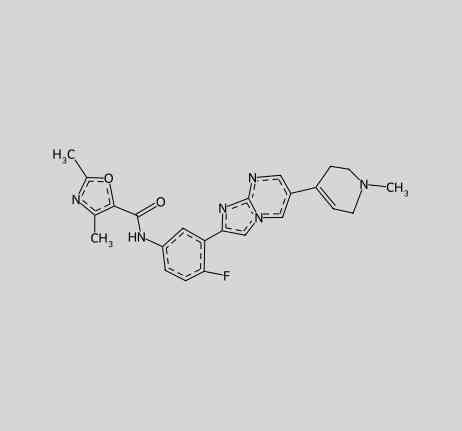 Cc1nc(C)c(C(=O)Nc2ccc(F)c(-c3cn4cc(C5=CCN(C)CC5)cnc4n3)c2)o1